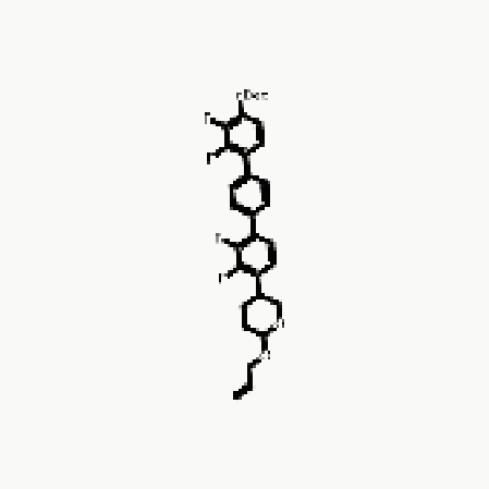 C=CCOC1CCC(c2ccc(-c3ccc(-c4ccc(CCCCCCCCCC)c(F)c4F)cc3)c(F)c2F)CO1